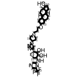 C[C@]12CC[C@@H]3c4ccc(OCCCN5CCC(n6cc([C@H]7OC[C@H](Nc8cncc(C(F)(F)F)n8)[C@@H](O)[C@H]7O)nn6)CC5)cc4CC[C@H]3[C@@H]1CC[C@@H]2O